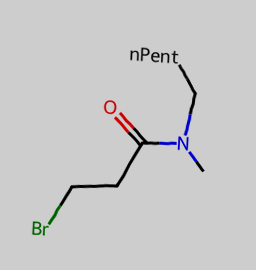 CCCCCCN(C)C(=O)CCBr